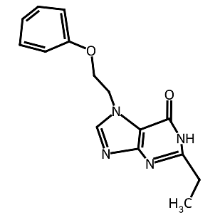 CCc1nc2ncn(CCOc3ccccc3)c2c(=O)[nH]1